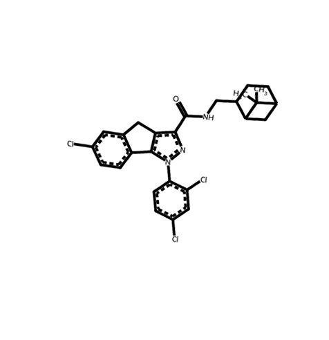 CC1(C)C2CCC(CNC(=O)c3nn(-c4ccc(Cl)cc4Cl)c4c3Cc3cc(Cl)ccc3-4)C1C2